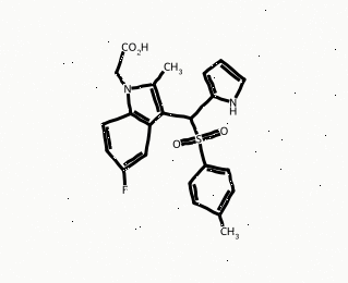 Cc1ccc(S(=O)(=O)C(c2ccc[nH]2)c2c(C)n(CC(=O)O)c3ccc(F)cc23)cc1